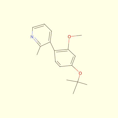 COc1cc(OC(C)(C)C)ccc1-c1cccnc1C